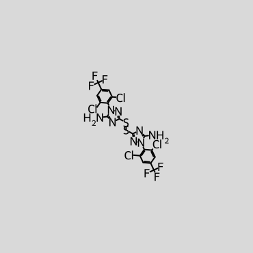 Nc1nc(SSc2nc(N)n(-c3c(Cl)cc(C(F)(F)F)cc3Cl)n2)nn1-c1c(Cl)cc(C(F)(F)F)cc1Cl